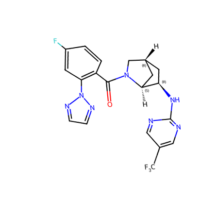 O=C(c1ccc(F)cc1-n1nccn1)N1C[C@@H]2C[C@@H](Nc3ncc(C(F)(F)F)cn3)[C@@H]1C2